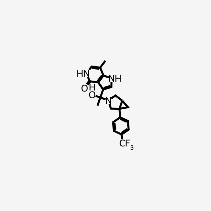 Cc1c[nH]c(=O)c2c(C(C)(O)N3CC4CC4(c4ccc(C(F)(F)F)cc4)C3)c[nH]c12